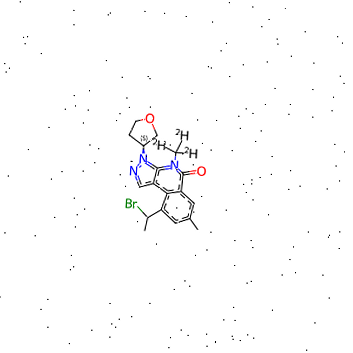 [2H]C([2H])([2H])n1c(=O)c2cc(C)cc(C(C)Br)c2c2cnn([C@H]3CCOC3)c21